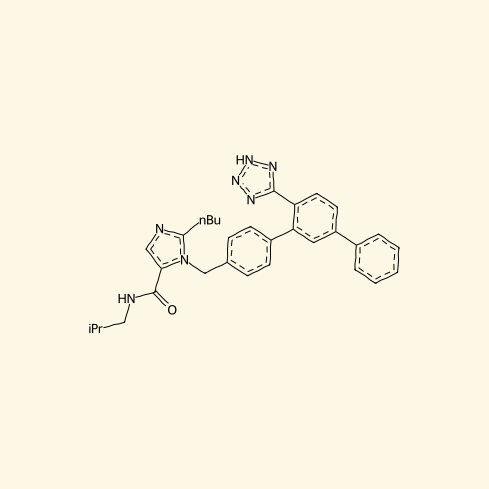 CCCCc1ncc(C(=O)NCC(C)C)n1Cc1ccc(-c2cc(-c3ccccc3)ccc2-c2nn[nH]n2)cc1